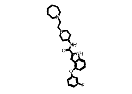 O=C(NC1CCN(CCN2CCCCCC2)CC1)c1cc2c(Oc3cccc(F)c3)cccc2[nH]1